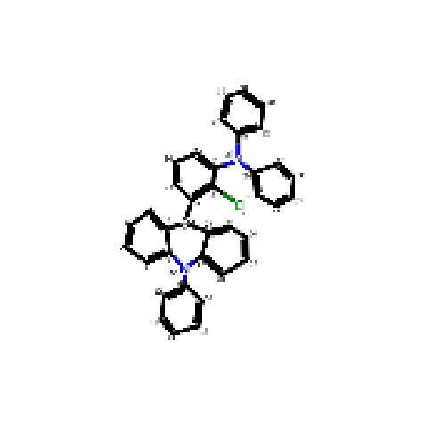 Clc1c(B2c3ccccc3N(c3ccccc3)c3ccccc32)cccc1N(c1ccccc1)c1ccccc1